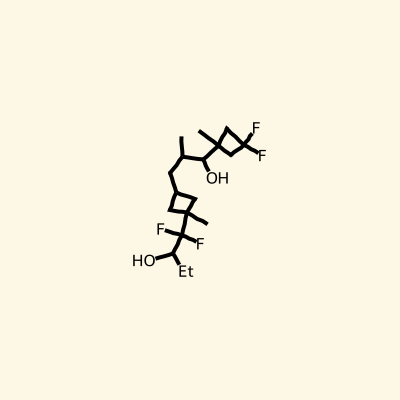 CCC(O)C(F)(F)C1(C)CC(CC(C)C(O)C2(C)CC(F)(F)C2)C1